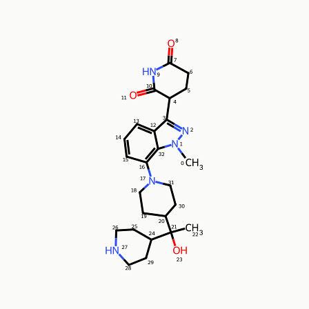 Cn1nc(C2CCC(=O)NC2=O)c2cccc(N3CCC(C(C)(O)C4CCNCC4)CC3)c21